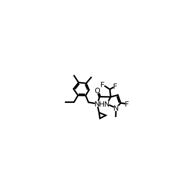 CCc1cc(C)c(C)cc1CN(C(=O)C1(C(F)F)C=C(F)N(C)N1)C1CC1